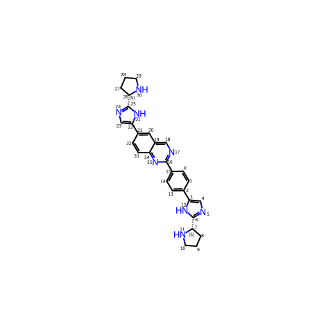 c1cc(-c2cnc([C@@H]3CCCN3)[nH]2)ccc1-c1ncc2cc(-c3cnc([C@@H]4CCCN4)[nH]3)ccc2n1